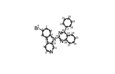 Brc1ccc2c(c1)c1ccncc1n2-c1nc(-c2ccccc2)c2ccccc2n1